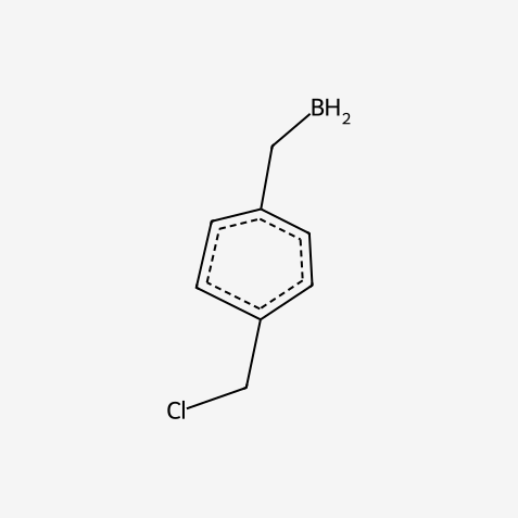 BCc1ccc(CCl)cc1